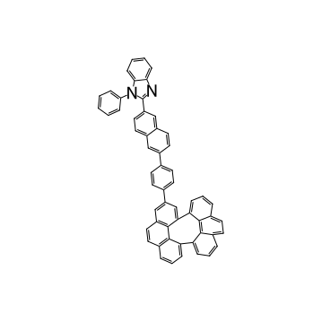 c1ccc(-n2c(-c3ccc4cc(-c5ccc(-c6cc7ccc8cccc9c%10cccc%11ccc%12cccc(c(c6)c7c89)c%12c%11%10)cc5)ccc4c3)nc3ccccc32)cc1